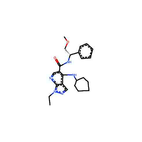 CCn1ncc2c(NC3CCCCC3)c(C(=O)N[C@H](COC)c3ccccc3)cnc21